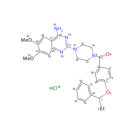 CCC(Oc1ccc(C(=O)N2CCN(c3nc(N)c4cc(OC)c(OC)cc4n3)CC2)cc1)c1ccccc1.Cl